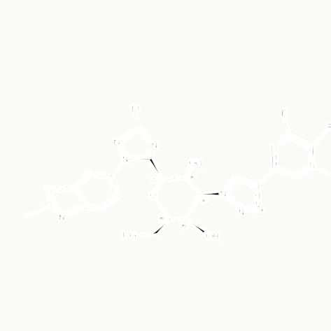 CCc1nc([C@@H]2O[C@H](CO)[C@H](O)[C@H](n3cc(-c4cc(F)c(F)c(F)c4)nn3)[C@H]2O)n(-c2ccc3nc(C)sc3c2)n1